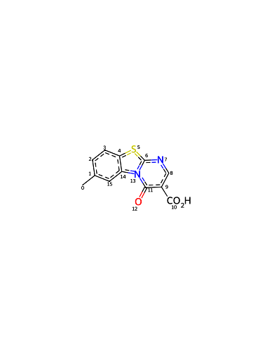 Cc1ccc2sc3ncc(C(=O)O)c(=O)n3c2c1